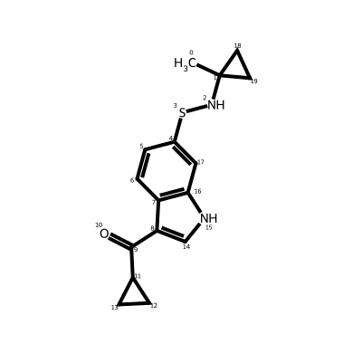 CC1(NSc2ccc3c(C(=O)C4CC4)c[nH]c3c2)CC1